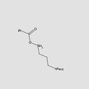 CCCCCCCC[SiH2]OC(=O)C(C)C